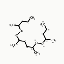 CCCC(C)OOC(C)CCC(C)OOC(C)CCC